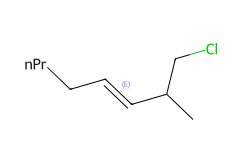 CCCC/C=C/C(C)CCl